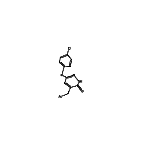 CC(=O)Cc1cc(Oc2ccc(Cl)cc2)n[nH]c1=O